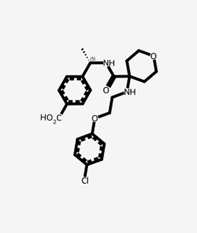 C[C@H](NC(=O)C1(NCCOc2ccc(Cl)cc2)CCOCC1)c1ccc(C(=O)O)cc1